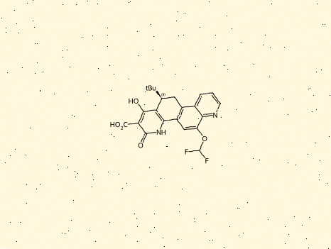 CC(C)(C)[C@H]1Cc2c(cc(OC(F)F)c3ncccc23)-c2[nH]c(=O)c(C(=O)O)c(O)c21